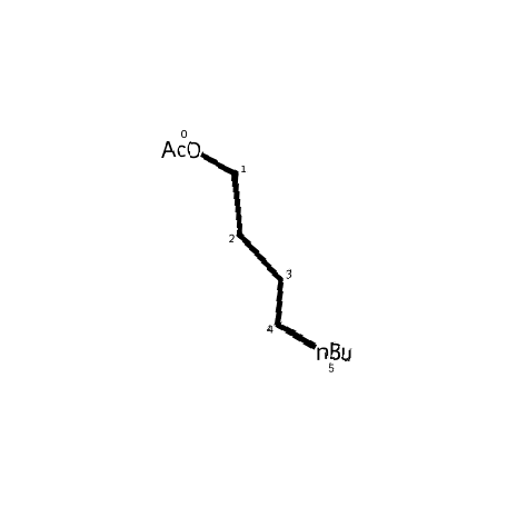 [CH]C(=O)OCCCCCCCC